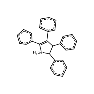 c1ccc([C]2=C(c3ccccc3)C(c3ccccc3)[CH](c3ccccc3)[GeH2]2)cc1